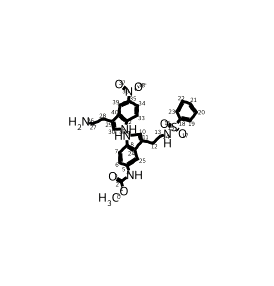 COC(=O)Nc1ccc2[nH]cc(CCNS(=O)(=O)c3ccccc3)c2c1.NCCc1c[nH]c2ccc([N+](=O)[O-])cc12